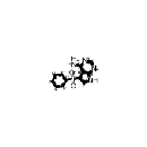 Nc1ncnc2[nH]cc(S(=O)(=O)c3ccccc3)c12